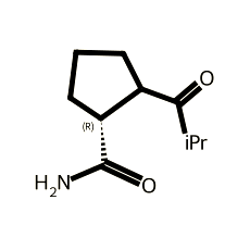 CC(C)C(=O)C1CCC[C@H]1C(N)=O